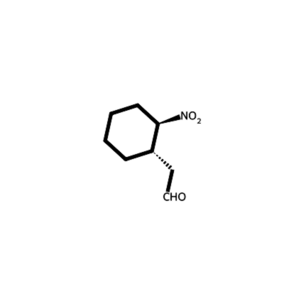 O=CC[C@@H]1CCCC[C@H]1[N+](=O)[O-]